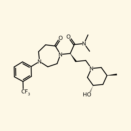 C[C@H]1C[C@H](O)CN(CC[C@H](C(=O)N(C)C)N2CCN(c3cccc(C(F)(F)F)c3)CCC2=O)C1